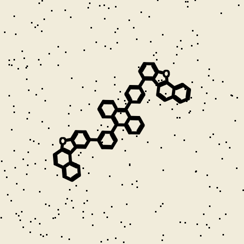 c1cc(-c2ccc3oc4ccc5ccccc5c4c3c2)cc(-c2c3ccccc3c(-c3ccc(-c4cccc5oc6c7ccccc7ccc6c45)cc3)c3ccccc23)c1